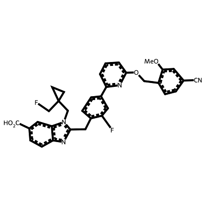 COc1cc(C#N)ccc1COc1cccc(-c2ccc(Cc3nc4ccc(C(=O)O)cc4n3CC3(CF)CC3)c(F)c2)n1